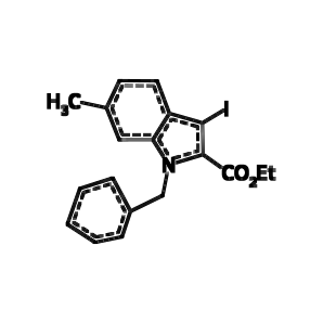 CCOC(=O)c1c(I)c2ccc(C)cc2n1Cc1ccccc1